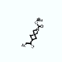 CC(=O)CC(=O)C1CC2(C1)CN(C(=O)OC(C)(C)C)C2